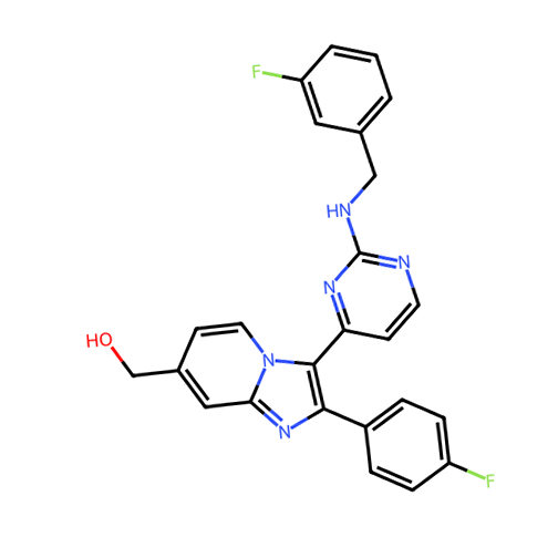 OCc1ccn2c(-c3ccnc(NCc4cccc(F)c4)n3)c(-c3ccc(F)cc3)nc2c1